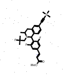 COC(=O)/C=C/c1cc(F)c(C2c3ccc(C#C[Si](C)(C)C)cc3CC(C)N2CC(C)(C)F)c(F)c1